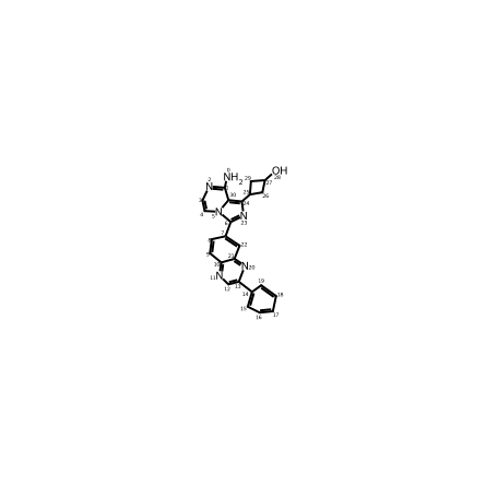 Nc1nccn2c(-c3ccc4ncc(-c5ccccc5)nc4c3)nc(C3CC(O)C3)c12